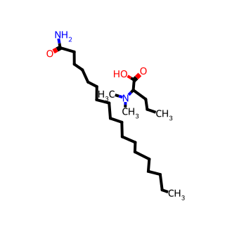 CCCC(C(=O)O)N(C)C.CCCCCCCCCCCCCCCCCC(N)=O